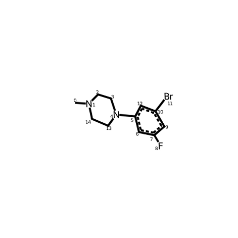 CN1CCN(c2cc(F)cc(Br)c2)CC1